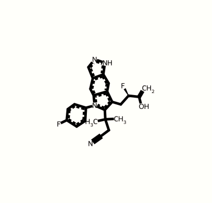 C=C(O)[C@H](F)Cc1c(C(C)(C)CC#N)n(-c2ccc(F)cc2)c2cc3cn[nH]c3cc12